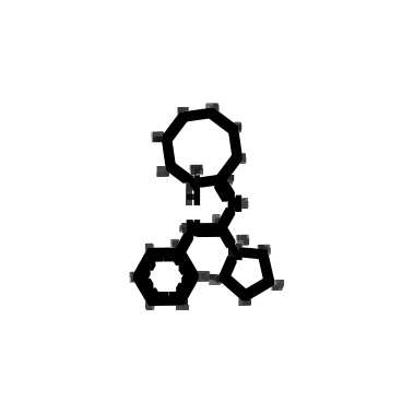 c1ccc(N=C(N=C2CCCCCCN2)N2CCCC2)cc1